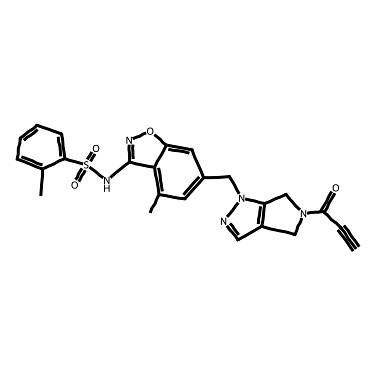 C#CC(=O)N1Cc2cnn(Cc3cc(C)c4c(NS(=O)(=O)c5ccccc5C)noc4c3)c2C1